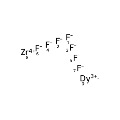 [Dy+3].[F-].[F-].[F-].[F-].[F-].[F-].[F-].[Zr+4]